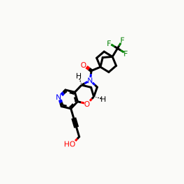 O=C(N1C[C@@H]2C[C@H]1c1cncc(C#CCO)c1O2)C12CCC(C(F)(F)F)(CC1)C2